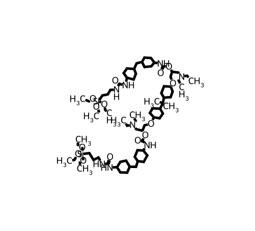 CCO[Si](CCCNC(=O)NC1CCC(CC2CCC(NC(=O)OC(COC3CCC(C(C)(C)C4CCC(OCC(CN(CC)CC)OC(=O)NC5CCC(CC6CCC(NC(=O)NCCC[Si](OCC)(OCC)OCC)CC6)CC5)CC4)CC3)CN(CC)CC)CC2)CC1)(OCC)OCC